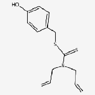 C=CCN(CC=C)C(=S)SCc1ccc(O)cc1